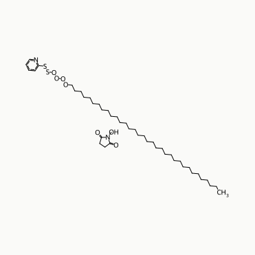 CCCCCCCCCCCCCCCCCCCCCCCCCCCCCCCCCCOOOOSSc1ccccn1.O=C1CCC(=O)N1O